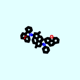 Cc1cc(N(c2ccccc2)c2ccccc2-c2ccccc2)c2ccc3c(C)cc(N(c4ccccc4)c4ccc5oc6cccc7ccc4c5c76)c4ccc1c2c34